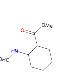 COC(=O)C1CCCCC1NC=O